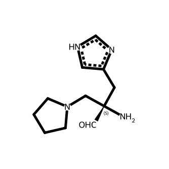 N[C@@](C=O)(Cc1c[nH]cn1)CN1CCCC1